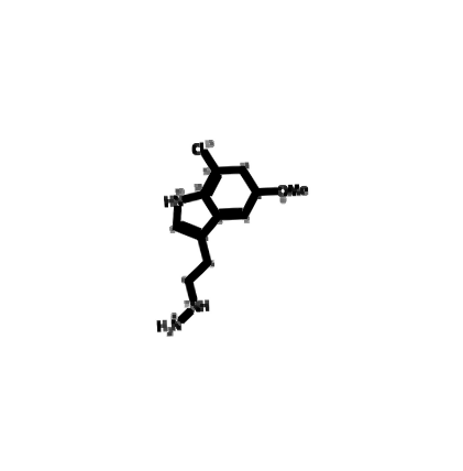 COC1C=c2c(CCNN)c[nH]c2=C(Cl)C1